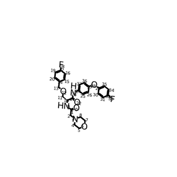 O=C(CN1CCOCC1)N[C@@H](COCc1ccc(F)cc1)C(=O)Nc1ccc(Oc2ccc(F)cc2)cc1